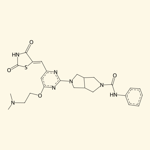 CN(C)CCOc1cc(/C=C2\SC(=O)NC2=O)nc(N2CC3CN(C(=O)Nc4ccccc4)CC3C2)n1